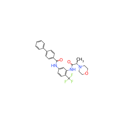 C[C@H](C(=O)Nc1cc(NC(=O)c2ccc(-c3ccccc3)cc2)ccc1C(F)(F)F)N1CCOCC1